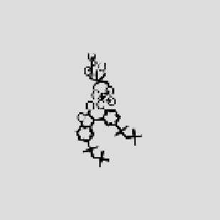 CC(C)(C)CC(C)(C)c1ccc2c(c1)C(c1cc(C(C)(C)CC(C)(C)C)ccc1OP1(=O)OCC3(CO[PH](=O)OC3)CO1)C(=O)O2